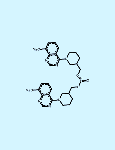 COc1cccc2c(N3CCCC(CO[PH](=O)OCC4CCCN(c5ncnc6c(OC)cccc56)C4)C3)ncnc12